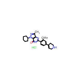 COc1cc(C2=CCNCC2)ccc1-c1nc2c(C)nn(C3CCCCC3)c2c(=O)[nH]1.Cl